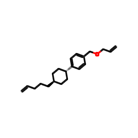 C=CCCC[C@H]1CC[C@H](c2ccc(COCC=C)cc2)CC1